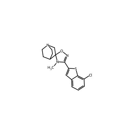 CN1C(c2cc3cccc(Cl)c3s2)=NOC12CN1CCC2CC1